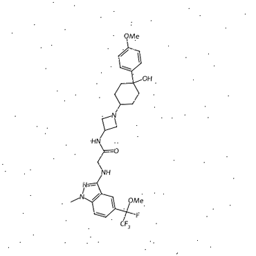 COc1ccc(C2(O)CCC(N3CC(NC(=O)CNc4nn(C)c5ccc(C(F)(OC)C(F)(F)F)cc45)C3)CC2)cc1